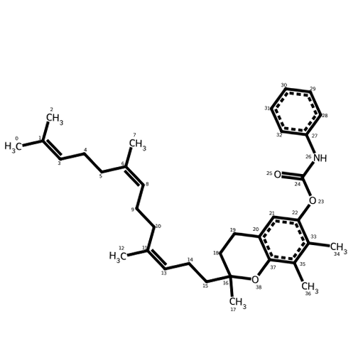 CC(C)=CCCC(C)=CCCC(C)=CCCC1(C)CCc2cc(OC(=O)Nc3ccccc3)c(C)c(C)c2O1